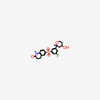 CN1C(=O)CCc2cc(S(=O)(=O)c3cc(F)cc(C4(C)CC(O)CCO4)c3)ccc21